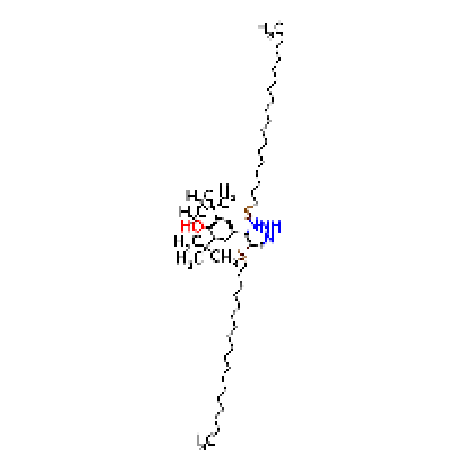 CCCCCCCCCCCCCCCCCCSC1=C(c2cc(C(C)(C)C)c(O)c(C(C)(C)C)c2)N(SCCCCCCCCCCCCCCCCCC)NN=C1